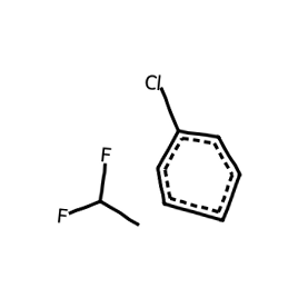 CC(F)F.Clc1ccccc1